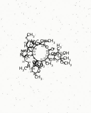 CCc1cccc(-n2cc(CCN(C)[C@H]3C[C@@H](C)O[C@@H](O[C@@H]4[C@@H](C)[C@H](O[C@H]5C[C@@](C)(OC)[C@@H](O)[C@H](C)O5)[C@@H](C)C(=O)O[C@H](CC)[C@@](C)(O)[C@H](O)[C@@H](C)C(=O)[C@H](C)C[C@@]4(C)OC)[C@@H]3O)nn2)c1